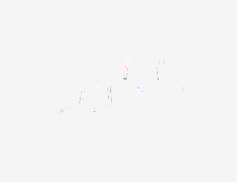 C#Cc1ccc(C(=O)NC(C)C(=O)OCC)cc1